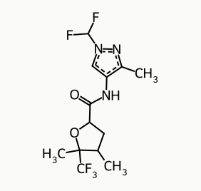 Cc1nn(C(F)F)cc1NC(=O)C1CC(C)C(C)(C(F)(F)F)O1